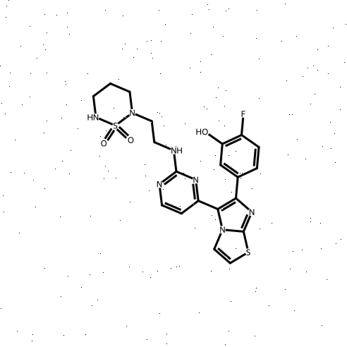 O=S1(=O)NCCCN1CCNc1nccc(-c2c(-c3ccc(F)c(O)c3)nc3sccn23)n1